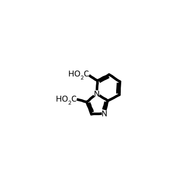 O=C(O)c1cccc2ncc(C(=O)O)n12